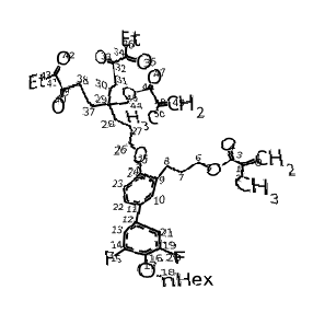 C=C(C)C(=O)OCCCc1cc(-c2cc(F)c(OCCCCCC)c(F)c2)ccc1OCCCC(CCC(=O)C(=O)CC)(CCC(=O)C(=O)CC)COC(=O)C(=C)C